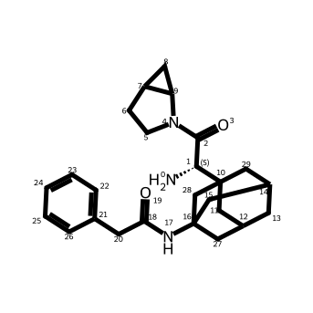 N[C@H](C(=O)N1CCC2CC21)C12CC3CC(CC(NC(=O)Cc4ccccc4)(C3)C1)C2